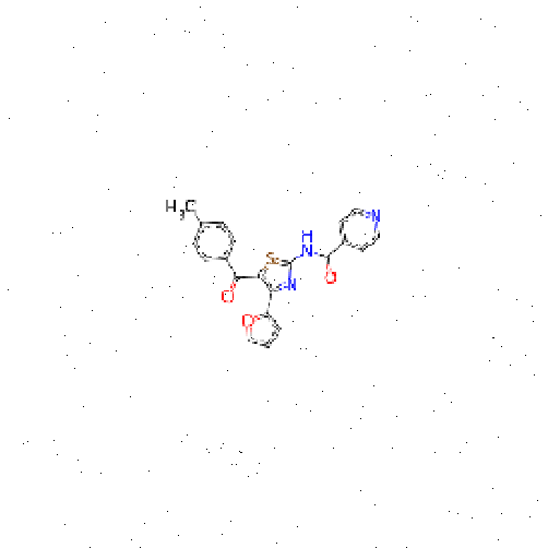 Cc1ccc(C(=O)c2sc(NC(=O)c3ccncc3)nc2-c2ccco2)cc1